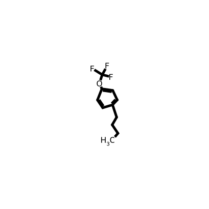 CCCCc1ccc(OC(F)(F)F)cc1